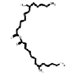 CCCCCC(C)CCCCCCC(=O)OC(=O)CCCCCCC(C)CCCCC